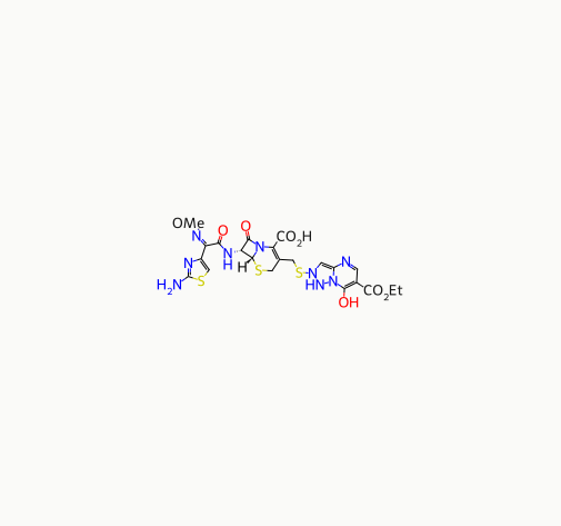 CCOC(=O)C1=C(O)N2NN(SCC3=C(C(=O)O)N4C(=O)[C@@H](NC(=O)/C(=N\OC)c5csc(N)n5)[C@H]4SC3)C=C2N=C1